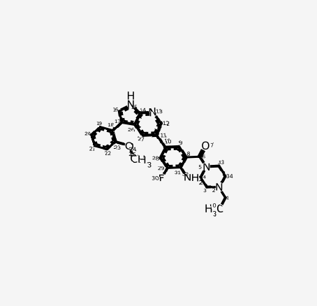 CCN1CCN(C(=O)c2cc(-c3cnc4[nH]cc(-c5ccccc5OC)c4c3)cc(F)c2N)CC1